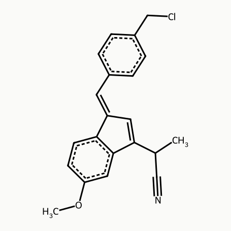 COc1ccc2c(c1)C(C(C)C#N)=CC2=Cc1ccc(CCl)cc1